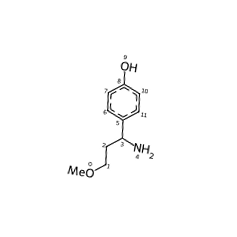 COCCC(N)c1ccc(O)cc1